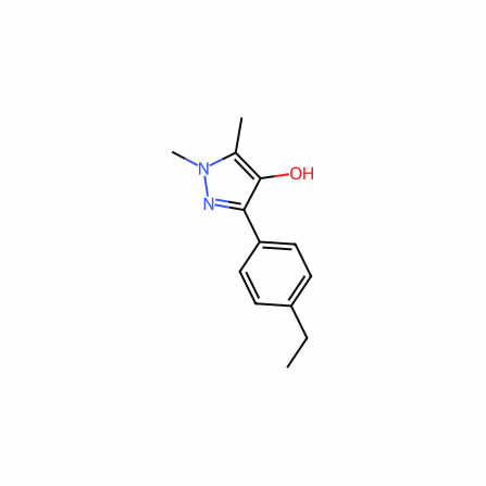 CCc1ccc(-c2nn(C)c(C)c2O)cc1